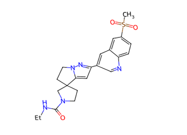 CCNC(=O)N1CCC2(CCn3nc(-c4cnc5ccc(S(C)(=O)=O)cc5c4)cc32)C1